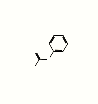 CC(C)(C)C(=O)Oc1[c]cccc1